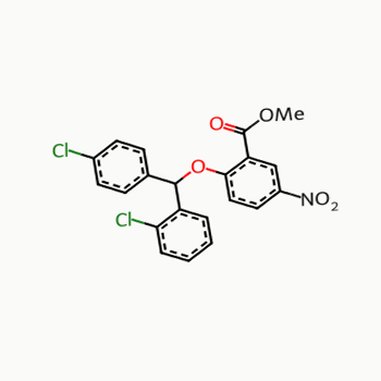 COC(=O)c1cc([N+](=O)[O-])ccc1OC(c1ccc(Cl)cc1)c1ccccc1Cl